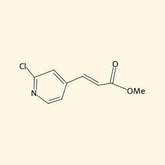 COC(=O)C=Cc1ccnc(Cl)c1